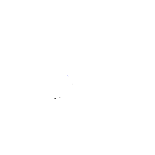 CCOC[C@](C)(C[C@H](N)Cc1ccc(-c2cc(C)ccc2F)cc1)C(=O)OCC